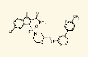 NC(=O)c1[nH]c2ccc(Cl)cc2c1S(=O)(=O)N1CCOC(COc2cccc(-c3ccc(C(F)(F)F)nc3)c2)C1